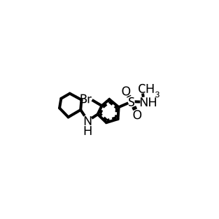 CNS(=O)(=O)c1ccc(NC2CCCCC2)c(Br)c1